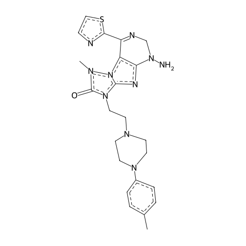 Cc1ccc(N2CCN(CCn3c(=O)n(C)n4c5c(nc34)N(N)CN=C5c3nccs3)CC2)cc1